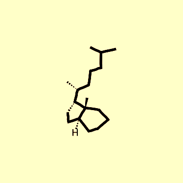 CC(C)CCC[C@@H](C)[C@H]1CC[C@@H]2CCCC[C@]21C